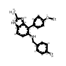 CCOc1ccc(-c2c(NCc3ccc(CC)cc3)ccc3[nH]c(C)nc23)cc1